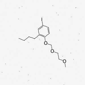 CCCCc1cc(I)ccc1OCOCCOC